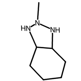 CN1NC2CCCCC2N1